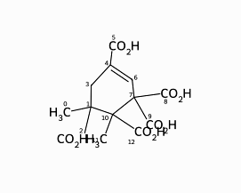 CC1(C(=O)O)CC(C(=O)O)=CC(C(=O)O)(C(=O)O)C1(C)C(=O)O